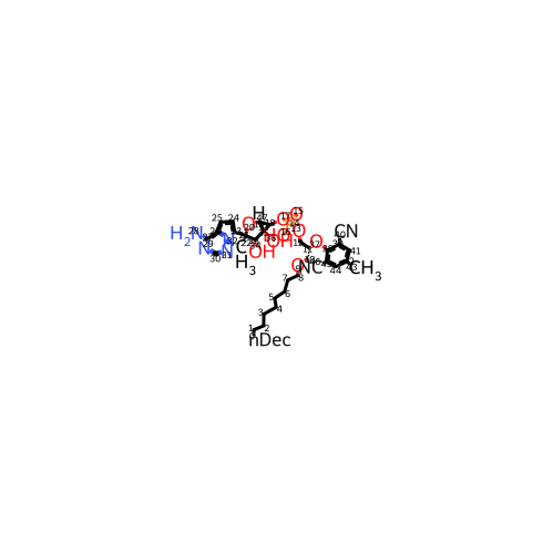 CCCCCCCCCCCCCCCCCCOC[C@H](COP(=O)(O)OC1[C@H]2O[C@@](C)(c3ccc4c(N)ncnn34)[C@H](O)[C@@]12O)Oc1c(C#N)cc(C)cc1C#N